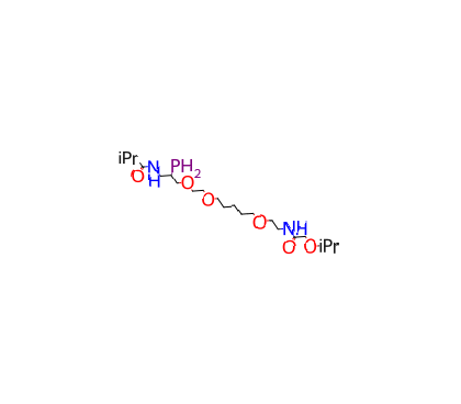 CC(C)OCC(=O)NCCOCCCCCOCCOCC(P)CNC(=O)C(C)C